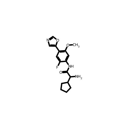 COc1cc(NC(=O)C(N)C2CCCC2)c(F)cc1-c1cnco1